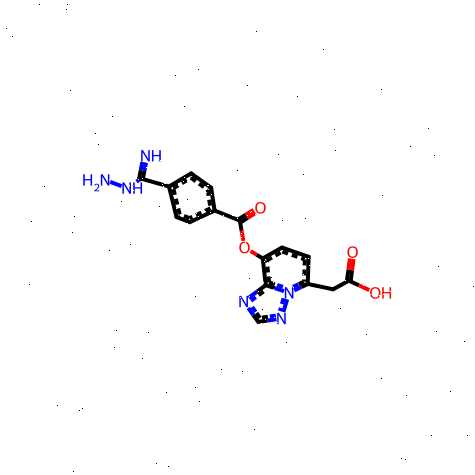 N=C(NN)c1ccc(C(=O)Oc2ccc(CC(=O)O)n3ncnc23)cc1